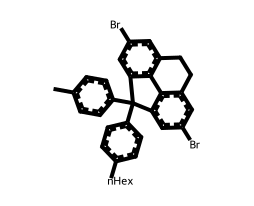 CCCCCCc1ccc(C2(c3ccc(C)cc3)c3cc(Br)cc4c3-c3c(cc(Br)cc32)CC4)cc1